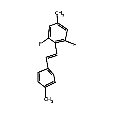 Cc1ccc(C=Cc2c(F)cc(C)cc2F)cc1